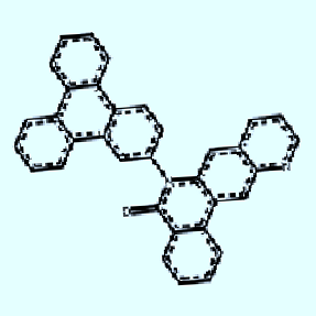 O=c1c2ccccc2c2cc3ncccc3cc2n1-c1ccc2c3ccccc3c3ccccc3c2c1